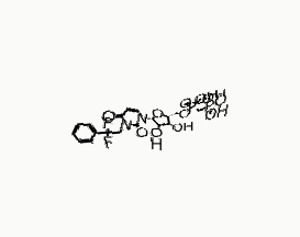 O=c1ccn([C@@H]2O[C@H](COP(=O)(O)CP(=O)(O)O)[C@H](O)C2O)c(=O)n1CC(F)(F)c1ccccc1